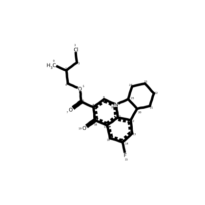 CC(CCl)COC(=O)c1cn2c3c(cc(F)cc3c1=O)C1CCCCC12